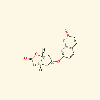 O=C1O[C@H]2C[C@H](Oc3ccc4ccc(=O)oc4c3)C[C@H]2O1